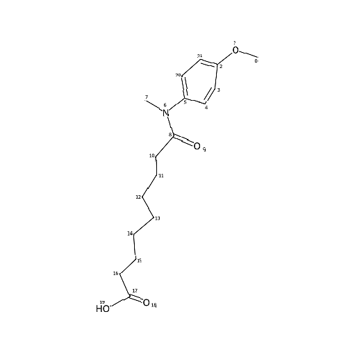 COc1ccc(N(C)C(=O)CCCCCCCC(=O)O)cc1